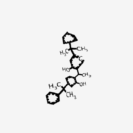 CC(c1ccc(C(C)(C)c2ccccc2)cc1O)c1ccc(C(C)(C)c2ccccc2)cc1O